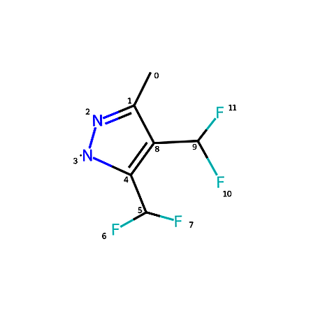 CC1=N[N]C(C(F)F)=C1C(F)F